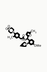 COc1ccc(C(NC(=O)Cc2ccc(N3CCS(=O)(=O)CC3)c(C)c2)c2ccc(C)o2)c(N2CC3CC3C2)c1